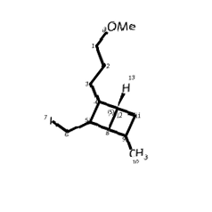 COCCCC1C(CI)C2C(C)C[C@@H]12